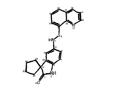 O=C1Nc2ccc(NSc3cccc4cccnc34)cc2C12CCCC2